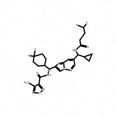 Cc1nonc1C(=O)N[C@H](c1cn2ncc(C(NC(=O)CCC(F)F)C3CC3)cc2n1)C1CCC(F)(F)CC1